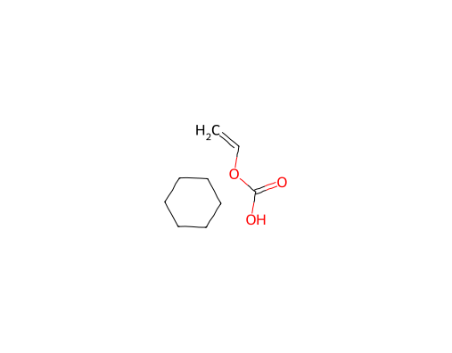 C1CCCCC1.C=COC(=O)O